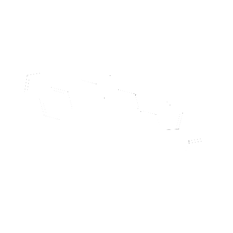 CC(=O)c1cnc(NC(=O)C2CC(Oc3cccc4ccoc34)C2)s1